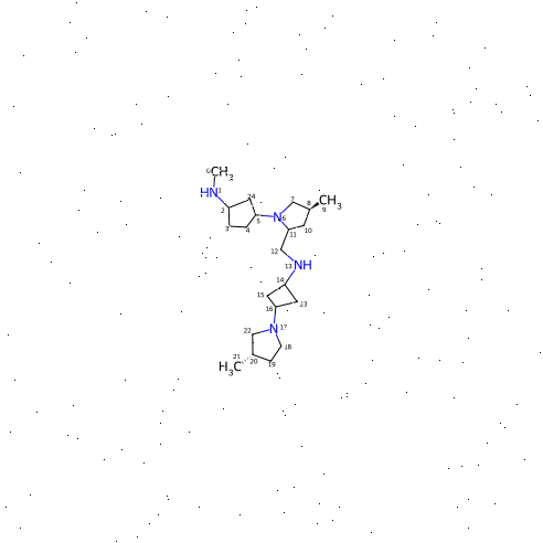 CNC1CCC(N2C[C@@H](C)CC2CNC2CC(N3CC[C@H](C)C3)C2)C1